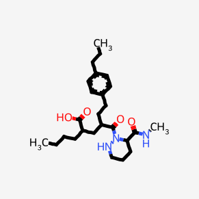 CCCCC(CC(CCc1ccc(CCC)cc1)C(=O)N1NCCCC1C(=O)NC)C(=O)O